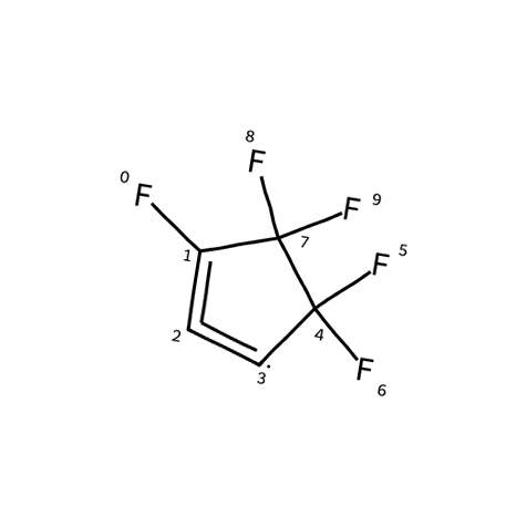 FC1=C=[C]C(F)(F)C1(F)F